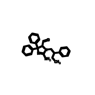 CCC(CN1C(N)=NC(c2ccccc2)(c2ccccc2)C1C=O)c1ccccc1